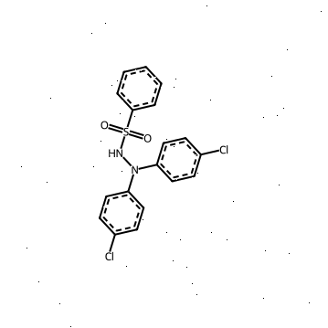 O=S(=O)(NN(c1ccc(Cl)cc1)c1ccc(Cl)cc1)c1ccccc1